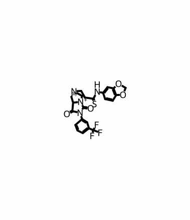 O=C1C2C[N@@]3CC(C(=S)Nc4ccc5c(c4)OCO5)[N+]2(C3)C(=O)N1c1cccc(C(F)(F)F)c1